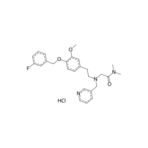 COc1cc(CCN(CC(=O)N(C)C)Cc2cccnc2)ccc1OCc1cccc(F)c1.Cl